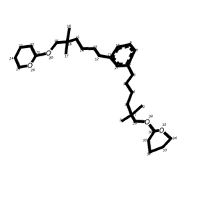 CC(C)(CCCCc1cccc(CCCCC(C)(C)COC2CCCCO2)c1)COC1CCCCO1